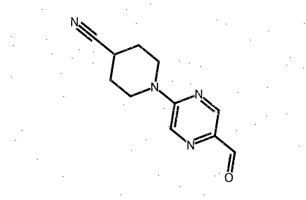 N#CC1CCN(c2cnc(C=O)cn2)CC1